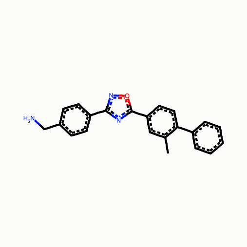 Cc1cc(-c2nc(-c3ccc(CN)cc3)no2)ccc1-c1ccccc1